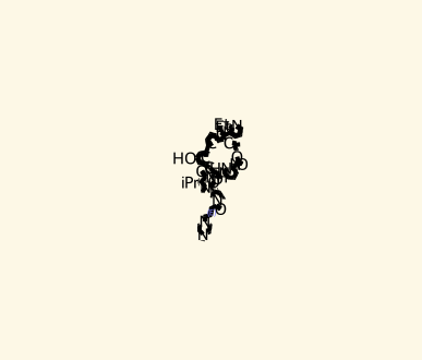 CCc1ncccc1-c1c2c3cc(ccc3n1CC)-c1cc(O)cc(c1)C[C@H](NC(=O)[C@H](C(C)C)N(C)C(=O)[C@H]1CCN(C(=O)/C=C/CN3CCN(C)CC3)C1)C(=O)N1CCC[C@H](N1)C(=O)OCC(C)(C)C2